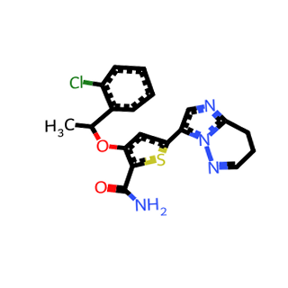 CC(Oc1cc(-c2cnc3n2N=CCC3)sc1C(N)=O)c1ccccc1Cl